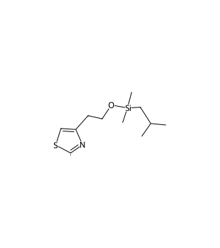 CC(C)C[Si](C)(C)OCCc1cs[c]n1